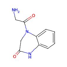 NCC(=O)N1CC(=O)Nc2ccccc21